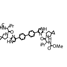 COC(=O)N[C@H](C(=O)N1CC2(CC2)C[C@H]1c1nc(-c2ccc(-c3ccc(-c4c[nH]c([C@@H]5CC6(CC6)CN5C(=O)[C@@H](NC(=O)O)C(C)C)n4)cc3)cc2)c[nH]1)C(C)C